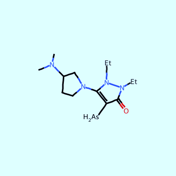 CCn1c(N2CCC(N(C)C)C2)c([AsH2])c(=O)n1CC